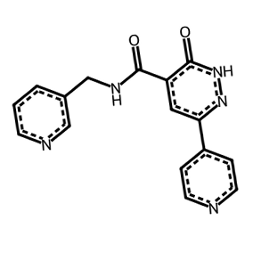 O=C(NCc1cccnc1)c1cc(-c2ccncc2)n[nH]c1=O